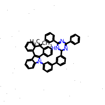 CC1(C)c2ccccc2-c2c(n(-c3cccc(-c4cccc(C5N=C(c6ccccc6)N=C(c6ccccc6)N5)c4)c3)c3ccccc23)-c2ccccc21